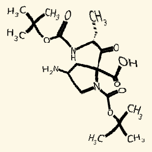 C[C@@H](NC(=O)OC(C)(C)C)C(=O)[C@]1(C(=O)O)CC(N)CN1C(=O)OC(C)(C)C